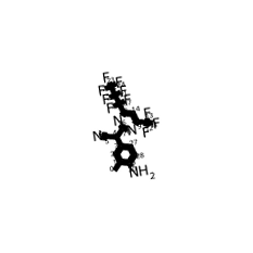 Cc1cc(C(C#N)c2nc(C(F)(F)F)cc(C(F)(F)C(F)(F)C(F)(F)F)n2)ccc1N